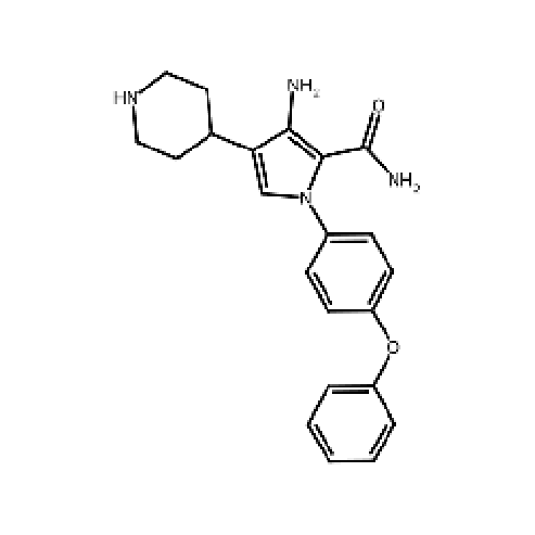 NC(=O)c1c(N)c(C2CCNCC2)cn1-c1ccc(Oc2ccccc2)cc1